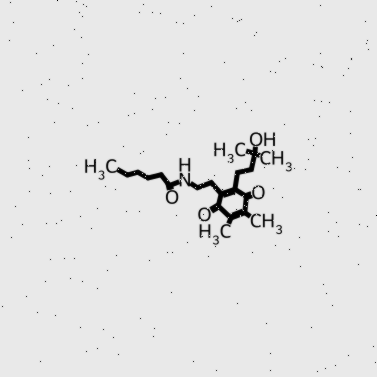 CCCCCC(=O)NCCC1=C(CCC(C)(C)O)C(=O)C(C)=C(C)C1=O